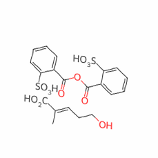 CC(=CCCO)C(=O)O.O=C(OC(=O)c1ccccc1S(=O)(=O)O)c1ccccc1S(=O)(=O)O